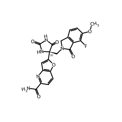 COc1ccc2c(c1F)C(=O)N(C[C@@]1(c3cc4nc(C(N)=O)ccc4o3)NC(=O)NC1=O)C2